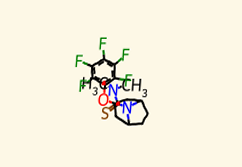 CN(C)C(=S)N1C2CCC1CC(Oc1c(F)c(F)c(F)c(F)c1F)C2